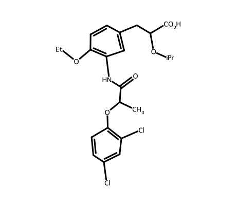 CCOc1ccc(CC(OC(C)C)C(=O)O)cc1NC(=O)C(C)Oc1ccc(Cl)cc1Cl